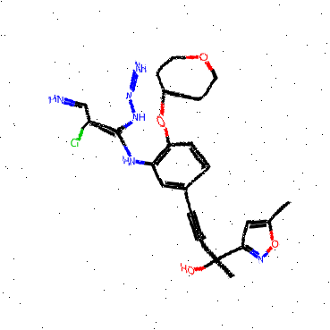 Cc1cc(C(C)(O)C#Cc2ccc(OC3CCOCC3)c(N/C(NN=N)=C(\Cl)C=N)c2)no1